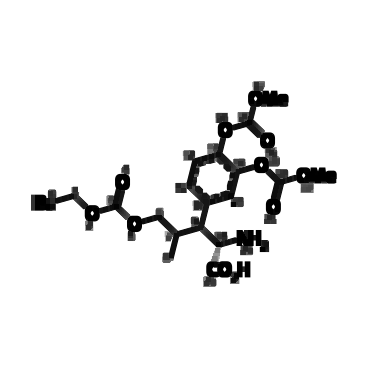 CCC(C)COC(=O)OCC(C)C(c1ccc(OC(=O)OC)c(OC(=O)OC)c1)[C@H](N)C(=O)O